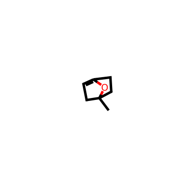 CC12CC=C(CC1)O2